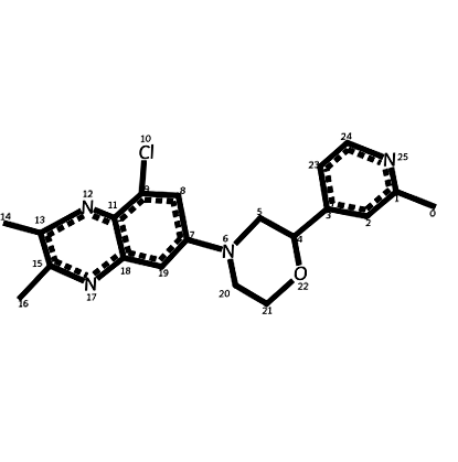 Cc1cc(C2CN(c3cc(Cl)c4nc(C)c(C)nc4c3)CCO2)ccn1